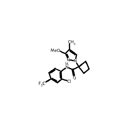 COc1nn(C2(C(=O)Nc3ccc(C(F)(F)F)cc3Cl)CCC2)cc1C